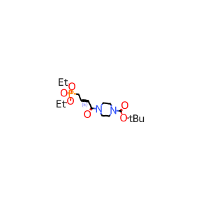 CCOP(=O)(C/C=C/C(=O)N1CCN(C(=O)OC(C)(C)C)CC1)OCC